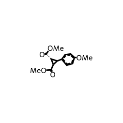 COC(=O)C1C(c2ccc(OC)cc2)[C@H]1C(=O)OC